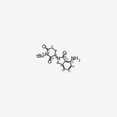 CC(C)(C)N1C(=O)CCC(N2Cc3cccc(N)c3C2=O)C1=O